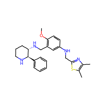 COc1ccc(NCc2nc(C)c(C)s2)cc1CN[C@H]1CCCN[C@@H]1c1ccccc1